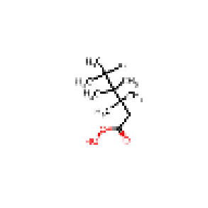 CCC(C)(C)C(C)(C)C(C)(C)CC(=O)OO